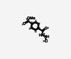 COC(=O)c1ccc(C(=O)NNCl)cc1